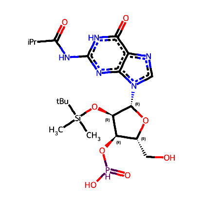 CC(C)C(=O)Nc1nc2c(ncn2[C@@H]2O[C@H](CO)[C@@H](O[PH](=O)O)[C@H]2O[Si](C)(C)C(C)(C)C)c(=O)[nH]1